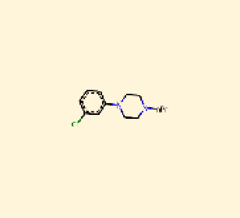 C[CH]CN1CCN(c2cccc(Cl)c2)CC1